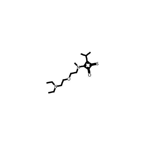 CCN(CC)CCOCCN(C)c1c(C(C)C)c(=S)c1=O